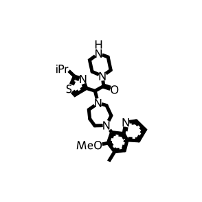 COc1c(C)cc2cccnc2c1N1CCCN(C(C(=O)N2CCNCC2)c2csc(C(C)C)n2)CC1